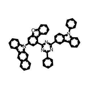 c1ccc(-c2nc(-c3ccc4c(c3)c3ccccc3n4-c3ccccc3)nc(-c3cc(-n4c5ccccc5c5cc6ccccc6cc54)cc4oc5ccccc5c34)n2)cc1